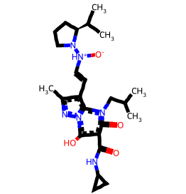 Cc1nn2c(O)c(C(=O)NC3CC3)c(=O)n(CC(C)C)c2c1/C=C/[NH+]([O-])N1CCC[C@H]1C(C)C